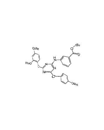 COc1ccc(Oc2nc(Nc3cccc(C(=O)OC(C)(C)C)c3)nc(Oc3ccc(OC)cc3OC)n2)cc1